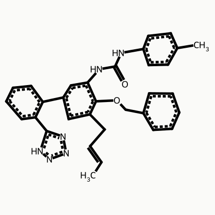 CC=CCc1cc(-c2ccccc2-c2nnn[nH]2)cc(NC(=O)Nc2ccc(C)cc2)c1OCc1ccccc1